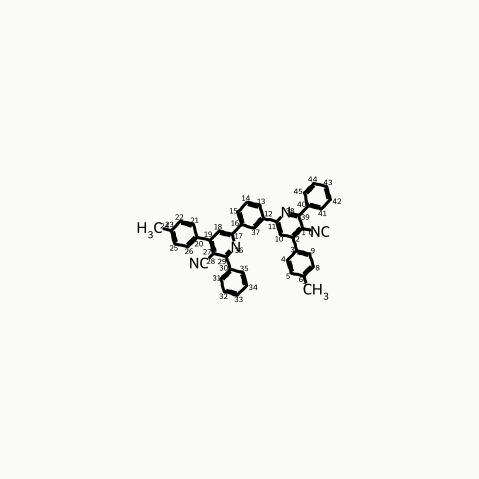 [C-]#[N+]c1c(-c2ccc(C)cc2)cc(-c2cccc(-c3cc(-c4ccc(C)cc4)c(C#N)c(-c4ccccc4)n3)c2)nc1-c1ccccc1